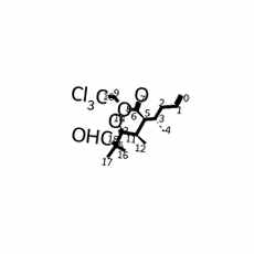 C=CC[C@H](C)[C@H](C(=O)OCC(Cl)(Cl)Cl)[C@@H](C)C(=O)C(C)(C)C=O